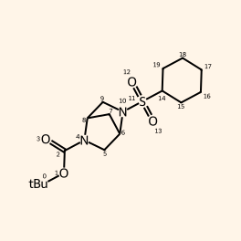 CC(C)(C)OC(=O)N1CC2CC1CN2S(=O)(=O)C1CCCCC1